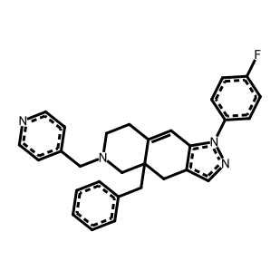 Fc1ccc(-n2ncc3c2C=C2CCN(Cc4ccncc4)CC2(Cc2ccccc2)C3)cc1